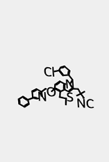 CC1Cc2c(OCc3ccc(-c4ccccc4)cn3)ccc3c2c(c(CC(C)(C)CC#N)n3Cc2cccc(Cl)c2)S1